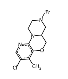 Cc1c(Cl)cnc2c1OCC1CN(C(C)C)CCN21